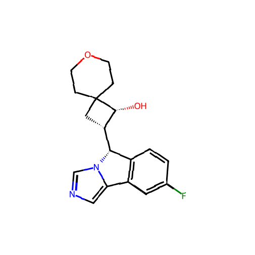 O[C@@H]1[C@H]([C@@H]2c3ccc(F)cc3-c3cncn32)CC12CCOCC2